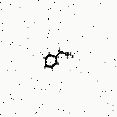 B[Se]c1ccccc1